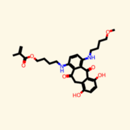 C=C(C)C(=O)OCCCCNc1ccc(NCCCCOC)c2c1C(=O)Cc1c(O)ccc(O)c1C2=O